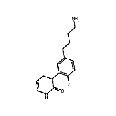 NCCCCc1ccc(Cl)c(C2CC=NNC2=O)c1